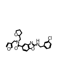 O=C(c1ccc2oc(NCc3cccc(Cl)c3)nc2c1)N(Cc1ccoc1)CC1CCCO1